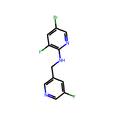 Fc1cncc(CNc2ncc(Br)cc2F)c1